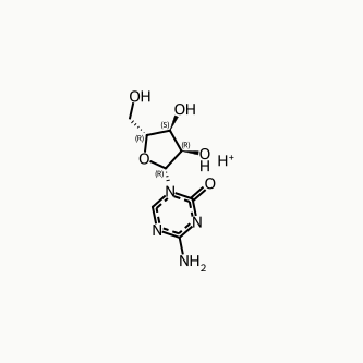 Nc1ncn([C@@H]2O[C@H](CO)[C@@H](O)[C@H]2O)c(=O)n1.[H+]